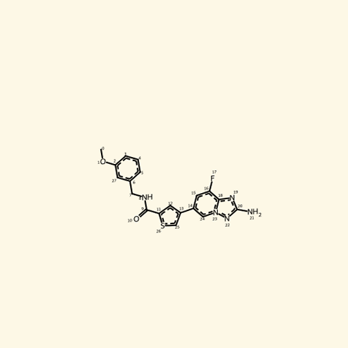 COc1cccc(CNC(=O)c2cc(-c3cc(F)c4nc(N)nn4c3)cs2)c1